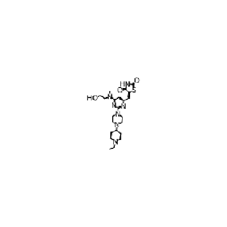 CCN1CCC(N2CCN(c3nc(/C=C4/SC(=O)NC4=O)cc(N(C)CCO)n3)CC2)CC1